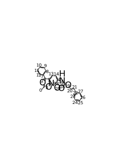 CC(=O)On1c(Cc2ccccc2)ccc(NC(=O)OCCc2ccccc2)c1=O